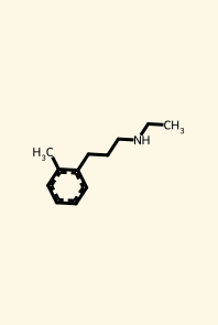 CCNCCCc1ccccc1C